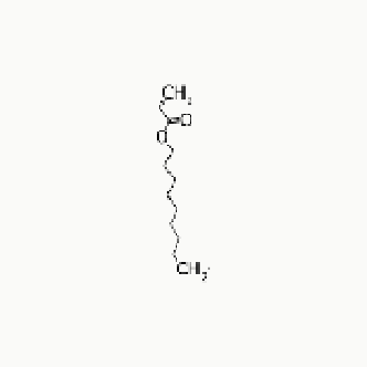 [CH2]CCCCCCCCOC(=O)C=C